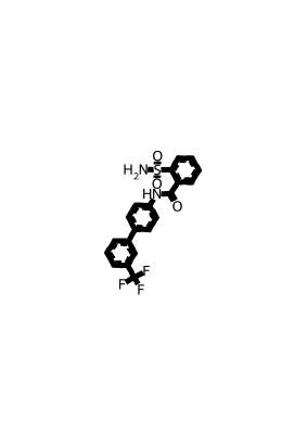 NS(=O)(=O)c1ccccc1C(=O)Nc1ccc(-c2cccc(C(F)(F)F)c2)cc1